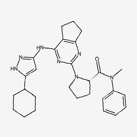 CN(C(=O)[C@@H]1CCCN1c1nc2c(c(Nc3cc(C4CCCCC4)[nH]n3)n1)CCC2)c1ccccc1